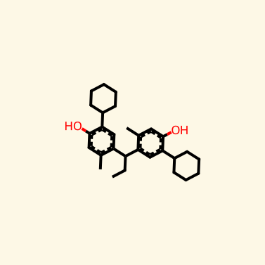 CCC(c1cc(C2CCCCC2)c(O)cc1C)c1cc(C2CCCCC2)c(O)cc1C